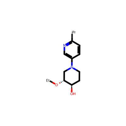 CCO[C@@H]1CN(c2ccc(C(C)C)nc2)CC[C@H]1O